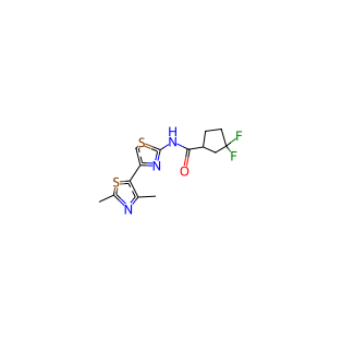 Cc1nc(C)c(-c2csc(NC(=O)C3CCC(F)(F)C3)n2)s1